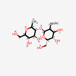 CC(=O)NC1C(O)[C@H](O)[C@H](CO)O[C@H]1O[C@H]1C(C)OC(CO)[C@@H](O)[C@@H]1O